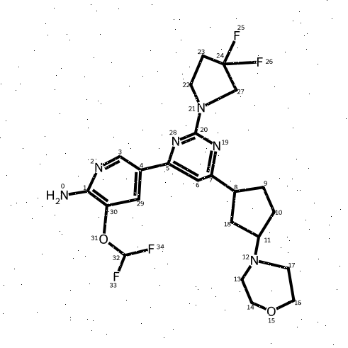 Nc1ncc(-c2cc(C3CCC(N4CCOCC4)C3)nc(N3CCC(F)(F)C3)n2)cc1OC(F)F